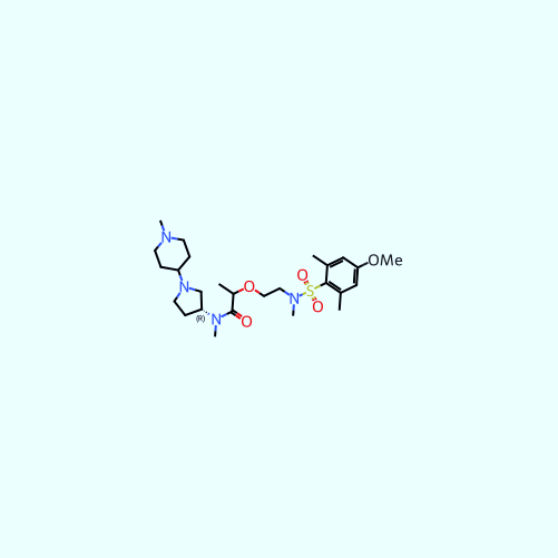 COc1cc(C)c(S(=O)(=O)N(C)CCOC(C)C(=O)N(C)[C@@H]2CCN(C3CCN(C)CC3)C2)c(C)c1